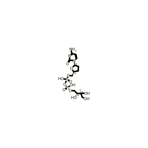 C[C@](O)(CO)[C@H](O)COP(=O)(O)OP(=O)(O)OC[C@@H]1CC[C@H](n2ccc(N)nc2=O)O1